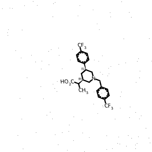 CC(C(=O)O)[C@H]1C[C@@H](c2ccc(C(F)(F)F)cc2)CN(Cc2ccc(C(F)(F)F)cc2)C1